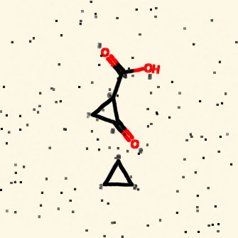 C1CC1.O=C(O)C1CC1=O